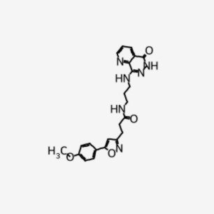 COc1ccc(-c2cc(CCC(=O)NCCCNc3n[nH]c(=O)c4cccnc34)no2)cc1